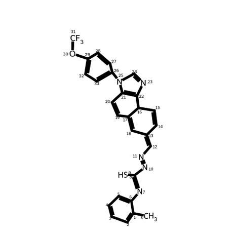 Cc1ccccc1N=C(S)N=NC=C1C=CC2C(=C1)C=Cc1c2ncn1-c1ccc(OC(F)(F)F)cc1